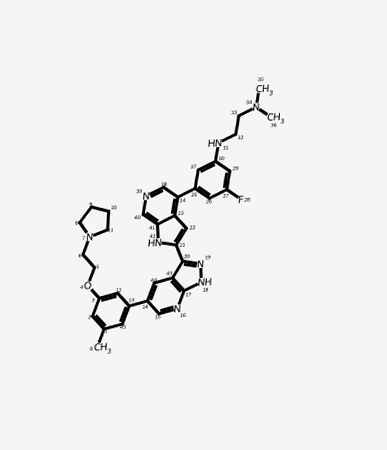 Cc1cc(OCCN2CCCC2)cc(-c2cnc3[nH]nc(-c4cc5c(-c6cc(F)cc(NCCN(C)C)c6)cncc5[nH]4)c3c2)c1